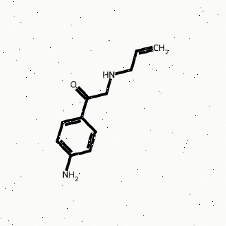 C=CCNCC(=O)c1ccc(N)cc1